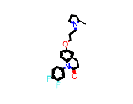 C[C@@H]1CCCN1CCCOc1ccc2c(c1)CCC(=O)N2c1ccc(F)c(F)c1